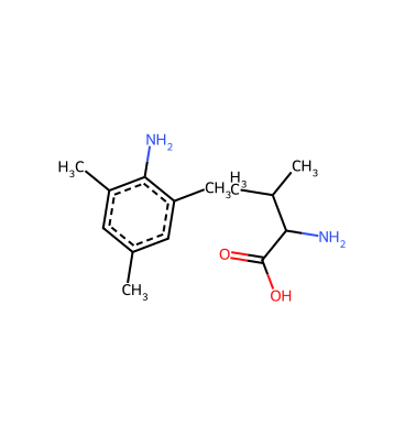 CC(C)C(N)C(=O)O.Cc1cc(C)c(N)c(C)c1